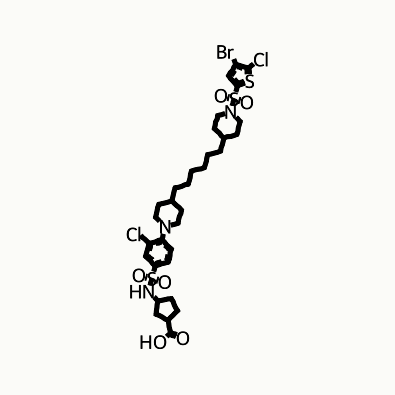 O=C(O)C1CCC(NS(=O)(=O)c2ccc(N3CCC(CCCCCCC4CCN(S(=O)(=O)c5cc(Br)c(Cl)s5)CC4)CC3)c(Cl)c2)C1